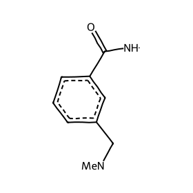 CNCc1cccc(C([NH])=O)c1